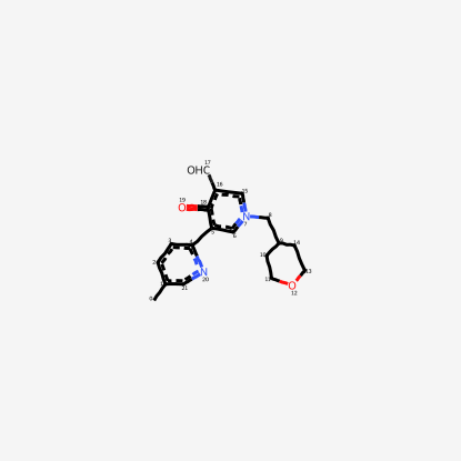 Cc1ccc(-c2cn(CC3CCOCC3)cc(C=O)c2=O)nc1